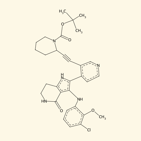 COc1c(Cl)cccc1Nc1c(-c2ccncc2C#CC2CCCCN2C(=O)OC(C)(C)C)[nH]c2c1C(=O)NCC2